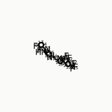 Fc1cccc(-c2nc3c([nH]2)C=NN(CCc2ccc(-c4ccc(C(F)(F)F)cc4C(F)(F)F)nn2)C3)c1F